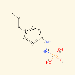 CC=Cc1ccc(NNP(=O)(O)O)cc1